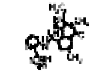 CCn1ncc2c3c(C(C)Nc4cccnc4-c4nnn[nH]4)cc(C)cc3c(=O)n(C)c21